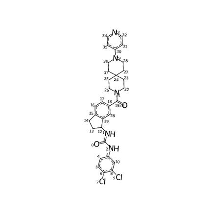 O=C(Nc1ccc(Cl)c(Cl)c1)NC1CCc2ccc(C(=O)N3CCC4(CC3)CCN(c3ccncc3)CC4)cc21